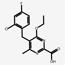 CCOc1nc(C(=O)O)nc(C)c1Cc1ccc(F)cc1Cl